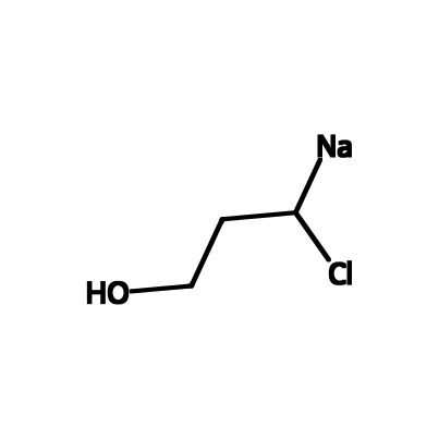 OCC[CH]([Na])Cl